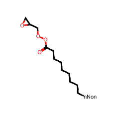 CCCCCCCCCCCCCCCCCC(=O)OOCC1CO1